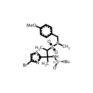 COc1ccc(CN(C)S(=O)(=O)C(C)C(C)(N[S@+]([O-])C(C)(C)C)c2nc(Br)cs2)cc1